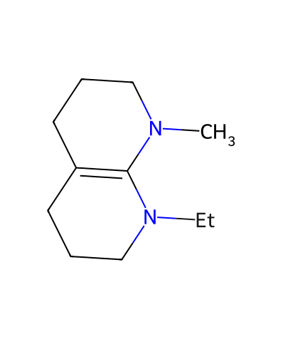 CCN1CCCC2=C1N(C)CCC2